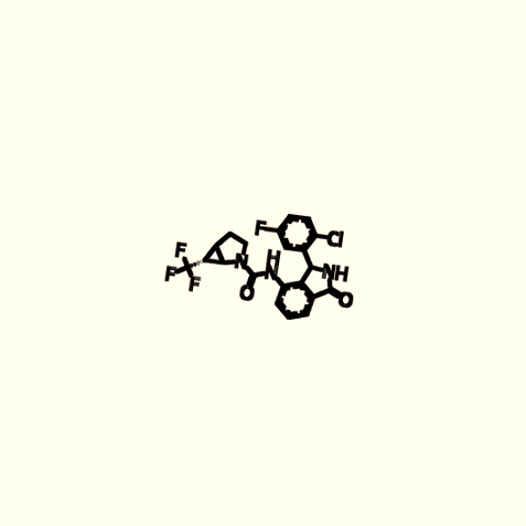 O=C1NC(c2cc(F)ccc2Cl)c2c(NC(=O)N3CCC4C3[C@@H]4C(F)(F)F)cccc21